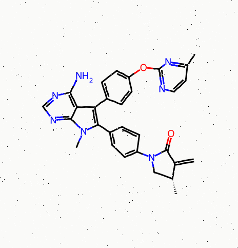 C=C1C(=O)N(c2ccc(-c3c(-c4ccc(Oc5nccc(C)n5)cc4)c4c(N)ncnc4n3C)cc2)C[C@H]1C